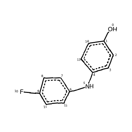 Oc1[c]cc(Nc2ccc(F)cc2)cc1